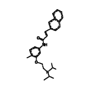 Cc1ccc(NC(=O)/C=C/c2ccc3ccccc3c2)cc1OCCN(C(C)C)C(C)C